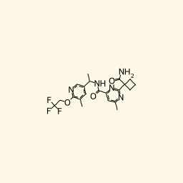 Cc1cc(C(=O)NC(C)c2cnc(OCC(F)(F)F)c(C)c2)nc(C2(C(N)=O)CCC2)n1